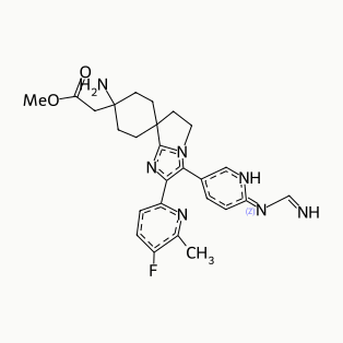 COC(=O)CC1(N)CCC2(CCn3c2nc(-c2ccc(F)c(C)n2)c3-c2cc/c(=N/C=N)[nH]c2)CC1